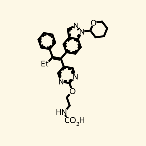 CCC(=C(c1cnc(OCCNC(=O)O)nc1)c1ccc2c(cnn2C2CCCCO2)c1)c1ccccc1